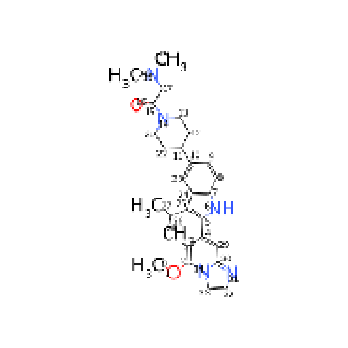 COc1cc(-c2[nH]c3ccc(C4CCN(C(=O)CN(C)C)CC4)cc3c2C(C)C)cc2nccn12